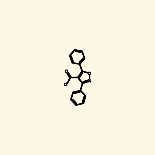 O=C(Cl)c1c(-c2ccccc2)noc1-c1ccccc1